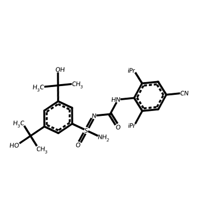 CC(C)c1cc(C#N)cc(C(C)C)c1NC(=O)N=S(N)(=O)c1cc(C(C)(C)O)cc(C(C)(C)O)c1